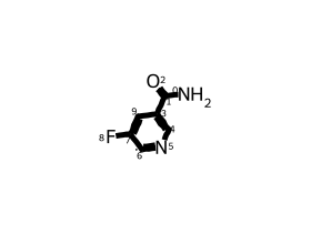 NC(=O)c1cn[c]c(F)c1